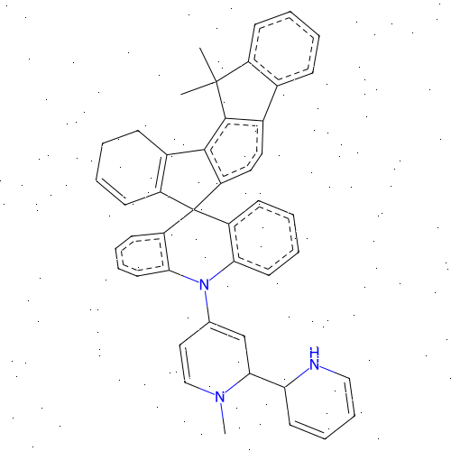 CN1C=CC(N2c3ccccc3C3(C4=C(CCC=C4)c4c3ccc3c4C(C)(C)c4ccccc4-3)c3ccccc32)=CC1C1C=CC=CN1